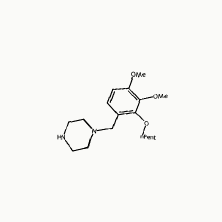 CCCCCOc1c(CN2CCNCC2)ccc(OC)c1OC